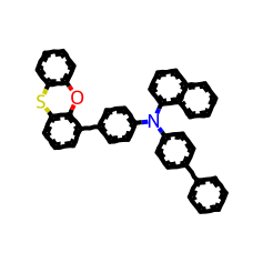 c1ccc(-c2ccc(N(c3ccc(-c4cccc5c4Oc4ccccc4S5)cc3)c3cccc4ccccc34)cc2)cc1